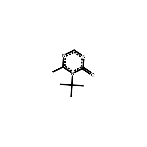 Cc1ncnc(=O)n1C(C)(C)C